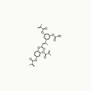 C=C(C)C(=O)Oc1cc(OC(=O)C(C)C)cc(/C(C)=C/C(=O)Oc2ccc(OC(=O)C(=C)C)cc2OC(=O)C(=C)C)c1